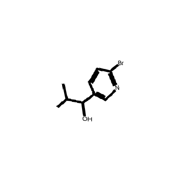 CC(C)C(O)c1ccc(Br)nc1